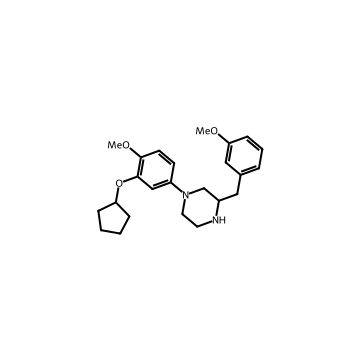 COc1cccc(CC2CN(c3ccc(OC)c(OC4CCCC4)c3)CCN2)c1